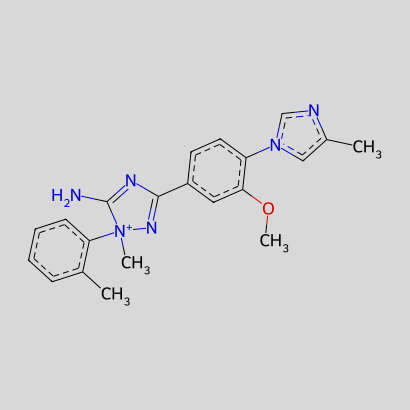 COc1cc(C2=N[N+](C)(c3ccccc3C)C(N)=N2)ccc1-n1cnc(C)c1